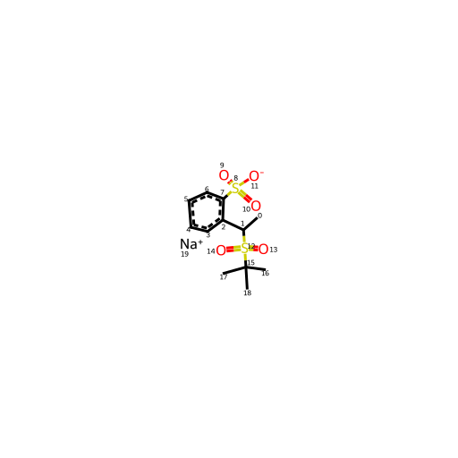 CC(c1ccccc1S(=O)(=O)[O-])S(=O)(=O)C(C)(C)C.[Na+]